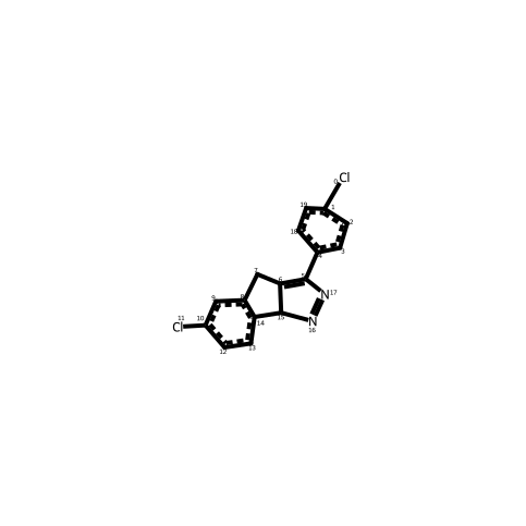 Clc1ccc(C2=C3Cc4cc(Cl)ccc4C3N=N2)cc1